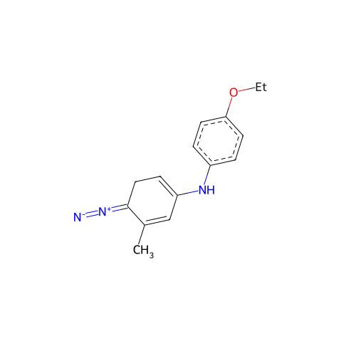 CCOc1ccc(NC2=CCC(=[N+]=[N-])C(C)=C2)cc1